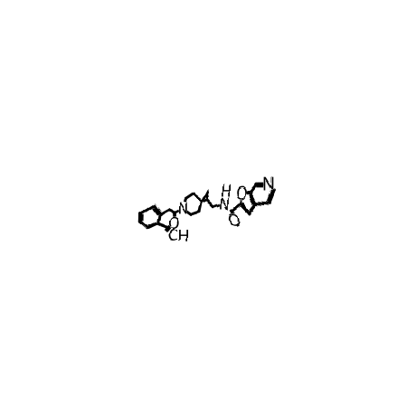 C#Cc1ccccc1CC(=O)N1CCC2(CC1)CC2CNC(=O)c1cc2ccncc2o1